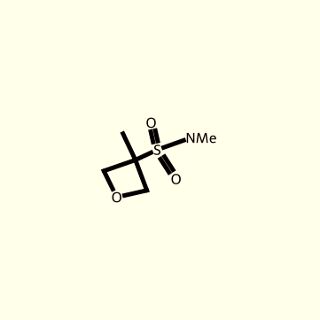 CNS(=O)(=O)C1(C)COC1